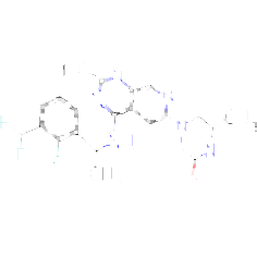 Cc1nc(N[C@H](C)c2cccc(C(F)F)c2F)c2cc(N3CC(=O)N[C@@H](C)C3)ncc2n1